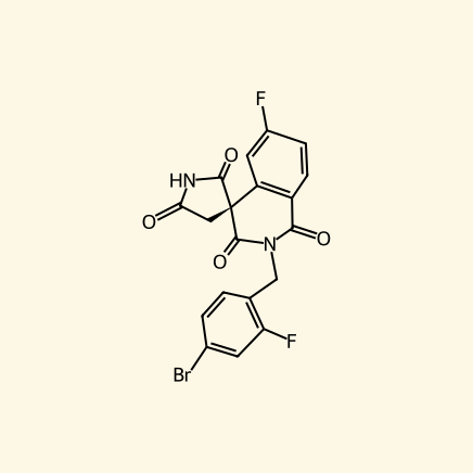 O=C1C[C@]2(C(=O)N1)C(=O)N(Cc1ccc(Br)cc1F)C(=O)c1ccc(F)cc12